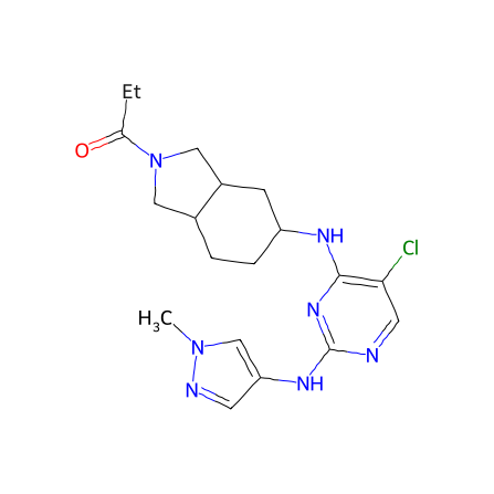 CCC(=O)N1CC2CCC(Nc3nc(Nc4cnn(C)c4)ncc3Cl)CC2C1